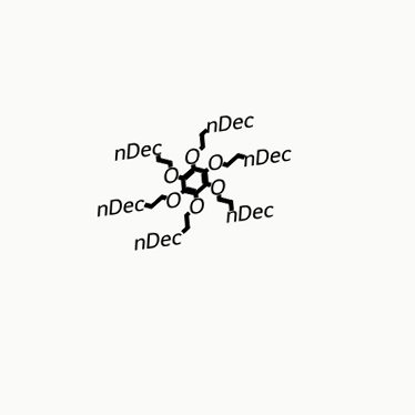 CCCCCCCCCCCCOc1c(OCCCCCCCCCCCC)c(OCCCCCCCCCCCC)c(OCCCCCCCCCCCC)c(OCCCCCCCCCCCC)c1OCCCCCCCCCCCC